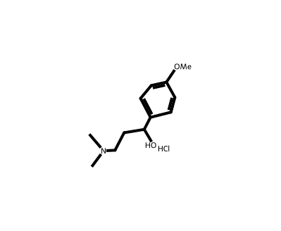 COc1ccc(C(O)CCN(C)C)cc1.Cl